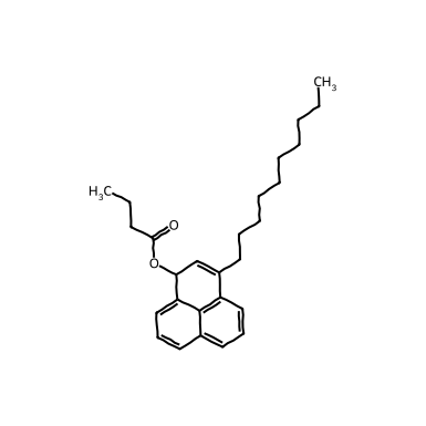 CCCCCCCCCCC1=CC(OC(=O)CCC)c2cccc3cccc1c23